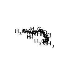 COCCNC(=O)Nc1ccc(C#Cc2cc(C(=O)Nc3ccc(CN4CC[C@H](N(C)C)C4)c(Cl)c3)ccc2C)cn1